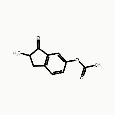 CC(=O)Oc1ccc2c(c1)C(=O)C(C)C2